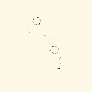 NC(=S)NN=Cc1cc(F)c(N2CCC(NCc3ccccc3OC(F)(F)F)CC2)cc1F